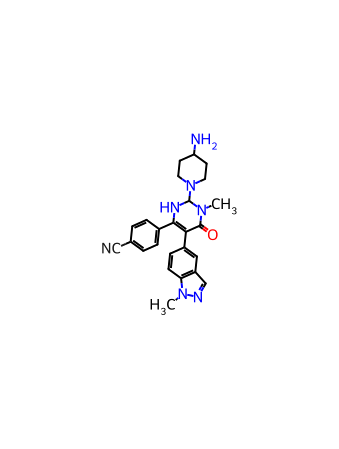 CN1C(=O)C(c2ccc3c(cnn3C)c2)=C(c2ccc(C#N)cc2)NC1N1CCC(N)CC1